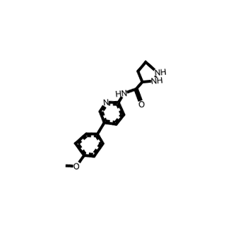 COc1ccc(-c2ccc(NC(=O)C3CCNN3)nc2)cc1